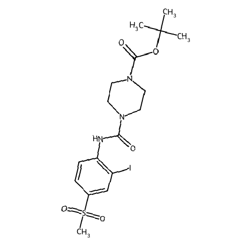 CC(C)(C)OC(=O)N1CCN(C(=O)Nc2ccc(S(C)(=O)=O)cc2I)CC1